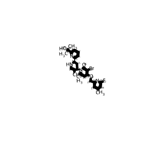 CC1=CN[C@@H](c2cccc(C(C)(C)O)n2)C[C@H]1n1c(C)cc(OCc2cc(C)cc(F)n2)c(Br)c1=O